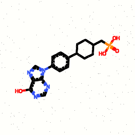 O=P(O)(O)CC1CCC(c2ccc(-n3cnc4c(O)ncnc43)cc2)CC1